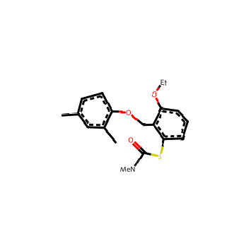 CCOc1cccc(SC(=O)NC)c1COc1ccc(C)cc1C